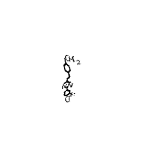 C=CC1CCC(CCc2cnc(-c3ccc(Cl)c(F)c3)nc2)CC1